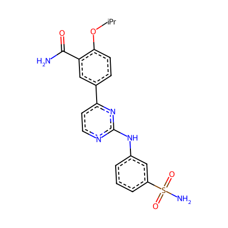 CC(C)Oc1ccc(-c2ccnc(Nc3cccc(S(N)(=O)=O)c3)n2)cc1C(N)=O